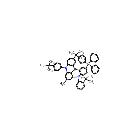 Cc1cc2c3c(c1)N(c1ccccc1C(C)(C)C)c1ccc([Si](c4ccccc4)(c4ccccc4)c4ccccc4)cc1B3c1cc(C(C)(C)C)ccc1N2c1ccc(C(C)(C)C)cc1